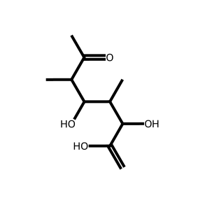 C=C(O)C(O)C(C)C(O)C(C)C(C)=O